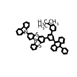 CC(C)(C)c1cccc(-c2cc(-c3cc4c5c(c3)Sc3cc(-n6c7ccccc7c7ccccc76)ccc3B5c3ccccc3S4)cc(-c3c4ccccc4c(-c4ccccc4)c4ccccc34)c2)c1